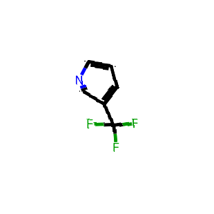 FC(F)(F)c1[c]n[c][c]c1